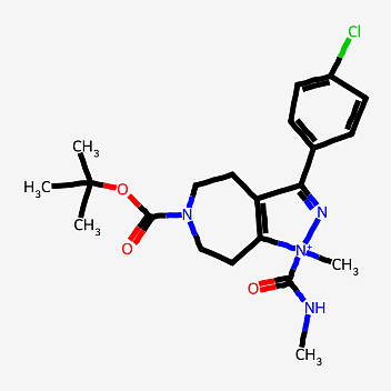 CNC(=O)[N+]1(C)N=C(c2ccc(Cl)cc2)C2=C1CCN(C(=O)OC(C)(C)C)CC2